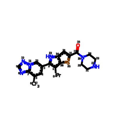 CC(C)c1c(-c2cc(C(F)(F)F)c3ncnn3c2)[nH]c2cc(C(=O)N3CCNCC3)sc12